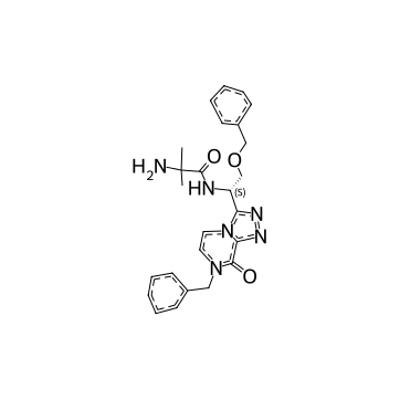 CC(C)(N)C(=O)N[C@H](COCc1ccccc1)c1nnc2c(=O)n(Cc3ccccc3)ccn12